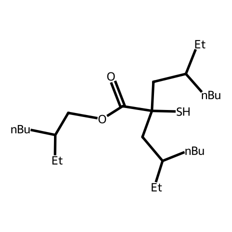 CCCCC(CC)COC(=O)C(S)(CC(CC)CCCC)CC(CC)CCCC